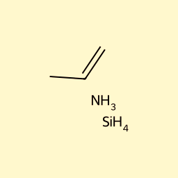 C=CC.N.[SiH4]